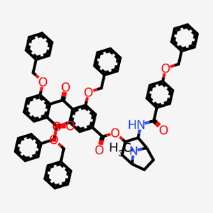 CN1C2CCC1C(NC(=O)c1ccc(OCc3ccccc3)cc1)C(OC(=O)c1cc(OCc3ccccc3)c(C(=O)c3c(OCc4ccccc4)cccc3C(=O)OCc3ccccc3)c(OCc3ccccc3)c1)C2